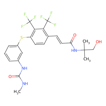 CNC(=O)Nc1cccc(Sc2ccc(C=CC(=O)NC(C)(C)CO)c(C(F)(F)F)c2C(F)(F)F)c1